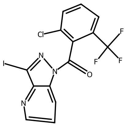 O=C(c1c(Cl)cccc1C(F)(F)F)n1nc(I)c2ncccc21